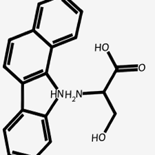 NC(CO)C(=O)O.c1ccc2c(c1)ccc1c3ccccc3[nH]c21